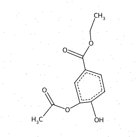 CCOC(=O)c1ccc(O)c(OC(C)=O)c1